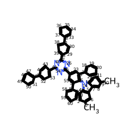 Cc1ccc2c(c1)c1cc(C)ccc1n2-c1c(-c2ccccc2)cc(-c2nc(-c3ccc(-c4ccccc4)cc3)nc(-c3ccc(-c4ccccc4)cc3)n2)cc1-c1ccccc1